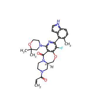 C=CC(=O)N1CCN2C(=O)c3c(N4CCOC(C)(C)C4)nc(-c4c(C)ccc5[nH]ccc45)c(F)c3OC[C@H]2C1